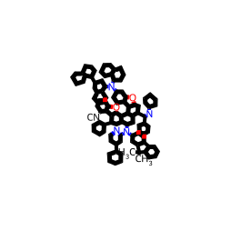 [C-]#[N+]c1cccc2oc3c(c(-c4ccccc4)cc4c(N(c5ccc6c(c5)C(C)(C)c5ccccc5-6)c5cc(-c6ccccc6)ccn5)cc5c(/C(=N\c6ccccc6)c6ccccc6)cc6oc7cc(N(c8cccc9ccccc89)c8cc(-c9cccc%10ccccc9%10)cc9ccccc89)ccc7c6c5c43)c12